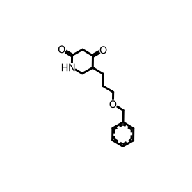 O=C1CC(=O)C(CCCOCc2ccccc2)CN1